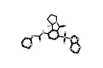 O=C(Nc1ccccn1)Nc1ccc(S(=O)(=O)n2cnc3nccnc32)c2c1[C@H]1CCCN1C2=O